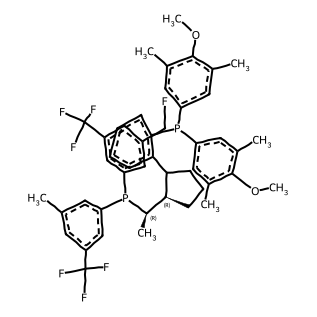 COc1c(C)cc(P(c2cc(C)c(OC)c(C)c2)c2ccccc2C2CCC[C@H]2[C@@H](C)P(c2cc(C)cc(C(F)(F)F)c2)c2cc(CF)cc(C(F)(F)F)c2)cc1C